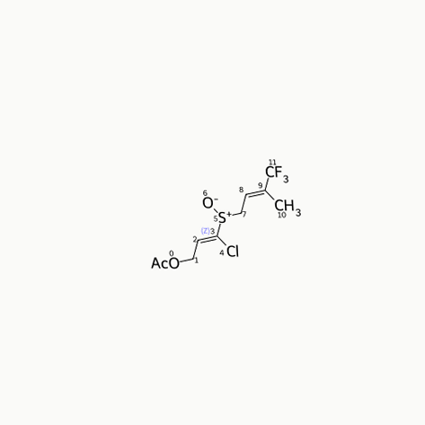 CC(=O)OC/C=C(\Cl)[S+]([O-])CC=C(C)C(F)(F)F